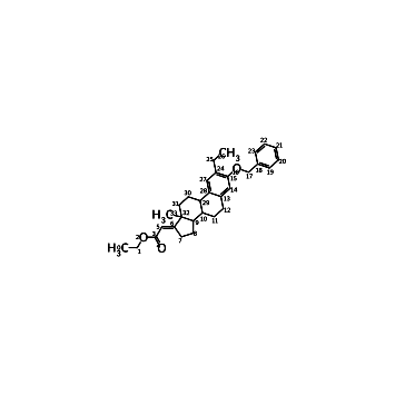 CCOC(=O)C=C1CCC2C3CCc4cc(OCc5ccccc5)c(CC)cc4C3CCC12C